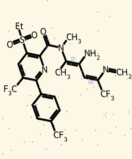 C=N/C(=C\C(N)=C(/C)N(C)C(=O)c1nc(-c2ccc(C(F)(F)F)cc2)c(C(F)(F)F)cc1S(=O)(=O)CC)C(F)(F)F